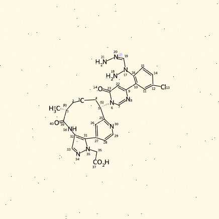 C[C@@H]1CCC[C@H](n2cnc(-c3cc(Cl)ccc3N(N)/C=N\N)cc2=O)c2cc(ccn2)-c2c(cnn2CC(=O)O)NC1=O